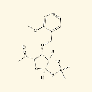 COc1ccccc1CO[C@@H]1[C@H]2OC(C)(C)O[C@H]2O[C@@H]1C(C)=O